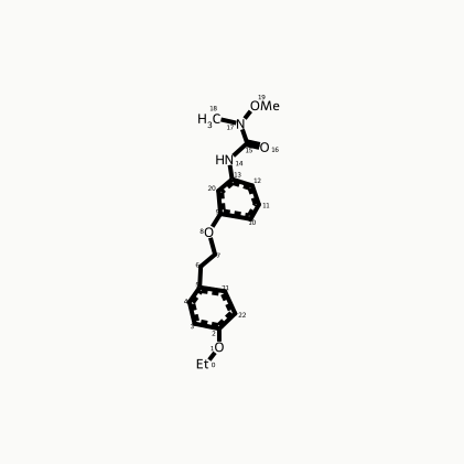 CCOc1ccc(CCOc2cccc(NC(=O)N(C)OC)c2)cc1